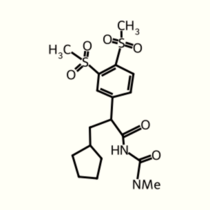 CNC(=O)NC(=O)C(CC1CCCC1)c1ccc(S(C)(=O)=O)c(S(C)(=O)=O)c1